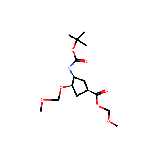 COCOC(=O)[C@@H]1C[C@H](NC(=O)OC(C)(C)C)[C@H](OCOC)C1